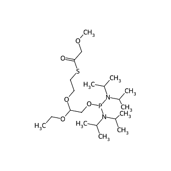 CCOC(COP(N(C(C)C)C(C)C)N(C(C)C)C(C)C)OCCSC(=O)COC